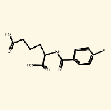 O=C(O)CCCC(NC(=O)c1ccc(F)cc1)C(=O)O